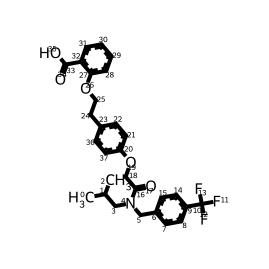 CC(C)CN(Cc1ccc(C(F)(F)F)cc1)C(=O)COc1ccc(CCOc2ccccc2C(=O)O)cc1